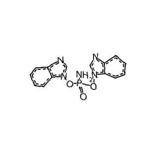 NP(=O)(On1cnc2ccccc21)On1cnc2ccccc21